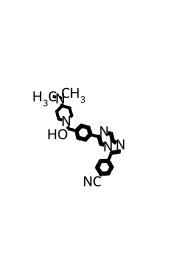 CN(C)C1CCN(C(O)c2ccc(-c3cn4c(-c5ccc(C#N)cc5)cnc4cn3)cc2)CC1